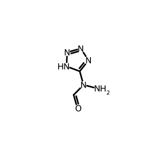 NN(C=O)c1nnn[nH]1